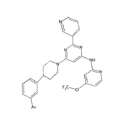 CC(=O)c1cccc(C2CCN(c3cc(Nc4cc(OC(F)(F)F)ccn4)nc(-c4cccnc4)n3)CC2)c1